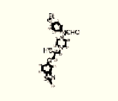 CCOc1ccc(N(C=O)N2CCN(C[C@@H](O)COc3ccc4sc(C)nc4c3)CC2)cc1